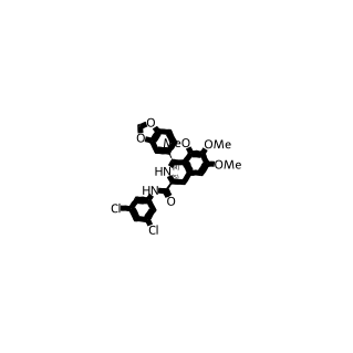 COc1cc2c(c(OC)c1OC)[C@@H](c1ccc3c(c1)OCO3)N[C@H](C(=O)Nc1cc(Cl)cc(Cl)c1)C2